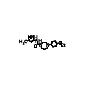 CCOc1ccc(N2CCCN(C(=O)Nc3cc(C)n[nH]3)CC2)cc1